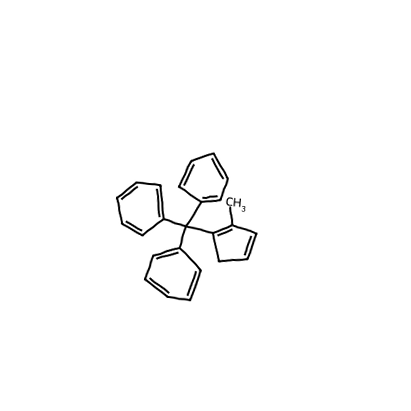 CC1=C(C(c2ccccc2)(c2ccccc2)c2ccccc2)CC=C1